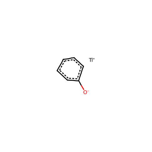 [O-]c1ccccc1.[Tl+]